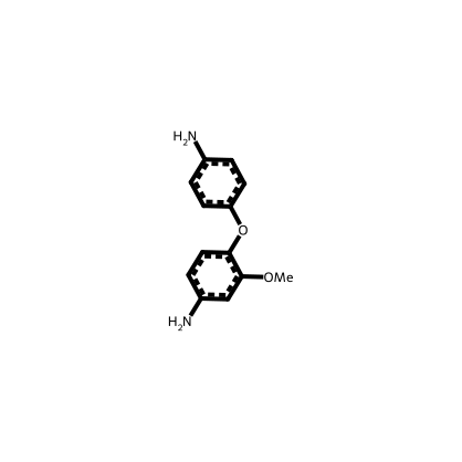 COc1cc(N)ccc1Oc1ccc(N)cc1